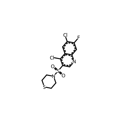 O=S(=O)(c1cnc2cc(F)c(Cl)cc2c1Cl)N1CCSCC1